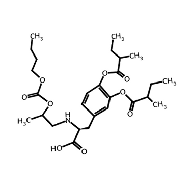 CCCCOC(=O)OC(C)CN[C@@H](Cc1ccc(OC(=O)C(C)CC)c(OC(=O)C(C)CC)c1)C(=O)O